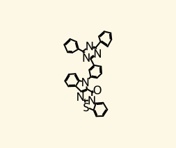 O=c1c2c(nc3sc4ccccc4n13)c1ccccc1n2-c1cccc(-c2nc(-c3ccccc3)nc(-c3ccccc3)n2)c1